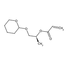 C=CC(=O)O[C@@H](C)COC1CCCCO1